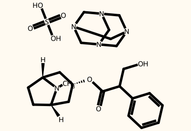 C1N2CN3CN1CN(C2)C3.CN1[C@@H]2CC[C@H]1C[C@@H](OC(=O)C(CO)c1ccccc1)C2.O=S(=O)(O)O